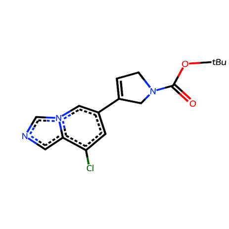 CC(C)(C)OC(=O)N1CC=C(c2cc(Cl)c3cncn3c2)C1